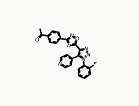 CC(=O)c1ccc(-c2noc(-c3nnn(-c4ccccc4F)c3-c3ccncc3)n2)cc1